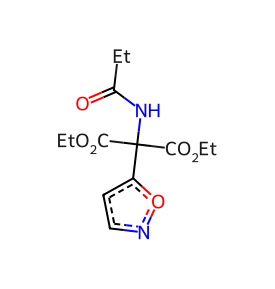 CCOC(=O)C(NC(=O)CC)(C(=O)OCC)c1ccno1